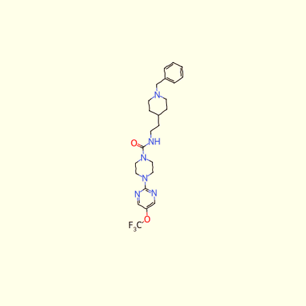 O=C(NCCC1CCN(Cc2ccccc2)CC1)N1CCN(c2ncc(OC(F)(F)F)cn2)CC1